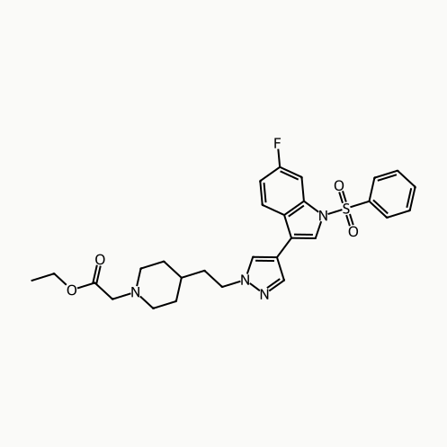 CCOC(=O)CN1CCC(CCn2cc(-c3cn(S(=O)(=O)c4ccccc4)c4cc(F)ccc34)cn2)CC1